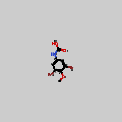 COc1c(Br)cc(NC(=O)O)cc1Br